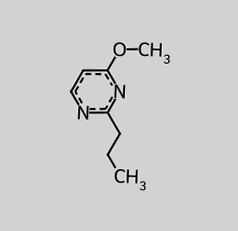 CCCc1nccc(OC)n1